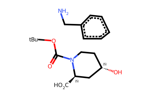 CC(C)(C)OC(=O)N1CC[C@H](O)C[C@H]1C(=O)O.NCc1ccccc1